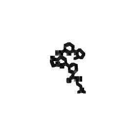 CC1CCCN1c1cccc(Nc2cc(-c3cccc(C(=O)NCCN(C)C)c3)nn3ccnc23)n1